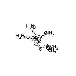 CCP(=O)(OC)O[C@H]1CC[C@@H](C(=O)NCc2ccc(C[C@@H](C(=O)NCCOCCON)N(CC(=O)NCCOCCON)CC(=O)NCCOCCON)cc2)CC1